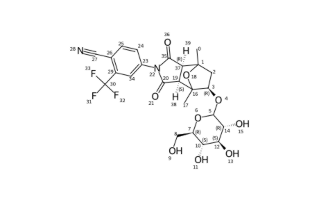 CC12C[C@@H](OC3O[C@H](CO)[C@@H](O)[C@H](O)[C@H]3O)C(C)(O1)[C@H]1C(=O)N(c3ccc(C#N)c(C(F)(F)F)c3)C(=O)[C@H]12